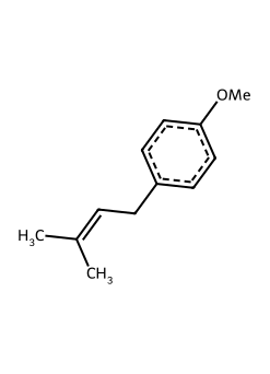 COc1ccc(CC=C(C)C)cc1